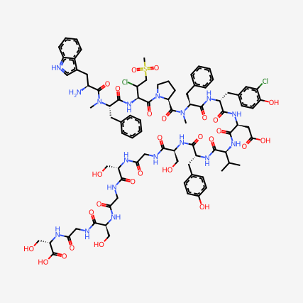 CC(C)[C@H](NC(=O)[C@H](CC(=O)O)NC(=O)[C@@H](Cc1ccc(O)c(Cl)c1)NC(=O)[C@H](Cc1ccccc1)N(C)C(=O)[C@@H]1CCCN1C(=O)[C@@H](NC(=O)[C@H](Cc1ccccc1)N(C)C(=O)[C@@H](N)Cc1c[nH]c2ccccc12)C(Cl)CS(C)(=O)=O)C(=O)N[C@H](Cc1ccc(O)cc1)C(=O)N[C@@H](CO)C(=O)NCC(=O)N[C@@H](CO)C(=O)NCC(=O)N[C@@H](CO)C(=O)NCC(=O)N[C@@H](CO)C(=O)O